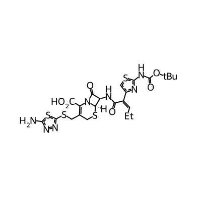 CC/C=C(\C(=O)N[C@@H]1C(=O)N2C(C(=O)O)=C(CSc3nnc(N)s3)CS[C@H]12)c1csc(NC(=O)OC(C)(C)C)n1